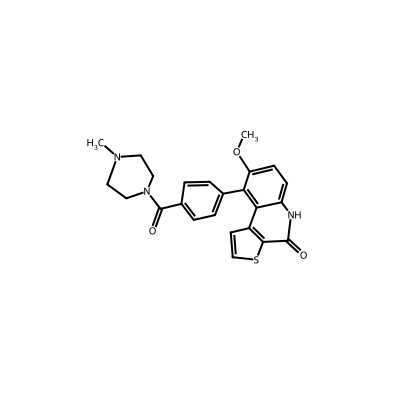 COc1ccc2[nH]c(=O)c3sccc3c2c1-c1ccc(C(=O)N2CCN(C)CC2)cc1